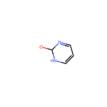 [O]C1N=CC=CN1